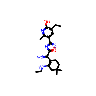 CCNC1=C(C(=N)c2nc(-c3cc(CC)c(O)nc3C)no2)CCC(C)(C)C1